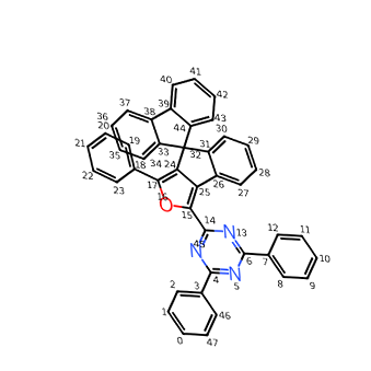 c1ccc(-c2nc(-c3ccccc3)nc(-c3oc(-c4ccccc4)c4c3-c3ccccc3C43c4ccccc4-c4ccccc43)n2)cc1